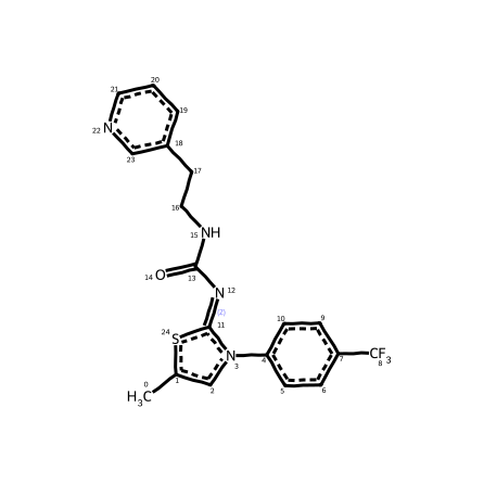 Cc1cn(-c2ccc(C(F)(F)F)cc2)/c(=N/C(=O)NCCc2cccnc2)s1